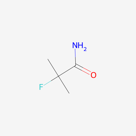 CC(C)(F)C(N)=O